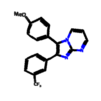 COc1ccc(-c2c(-c3cccc(C(F)(F)F)c3)nc3ncccn23)cc1